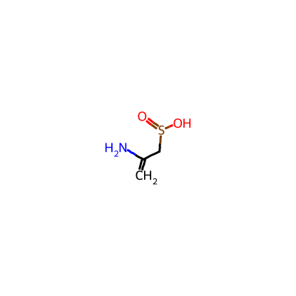 C=C(N)CS(=O)O